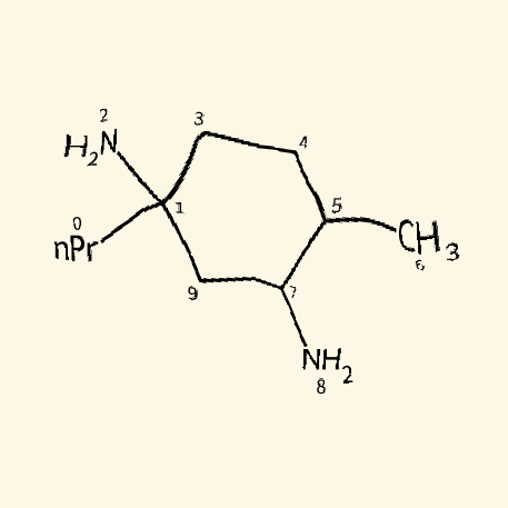 CCCC1(N)CCC(C)C(N)C1